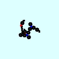 C=Cc1ccc(OCCCCCCC2(c3cc(C)ccc3C)c3ccccc3-c3ccc(N(c4ccccc4)c4ccc(-c5ccc6c(c5)c5cc(-c7ccc(C=C)cc7)ccc5n6-c5ccccc5)cc4)cc32)cc1